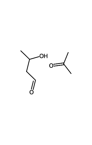 CC(C)=O.CC(O)CC=O